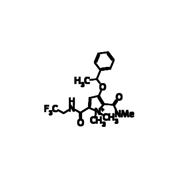 CNC(=O)C1=C(OC(C)c2ccccc2)C=C(C(=O)NCC(F)(F)F)[N+]1(C)C